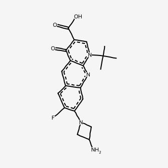 CC(C)(C)n1cc(C(=O)O)c(=O)c2cc3cc(F)c(N4CC(N)C4)cc3nc21